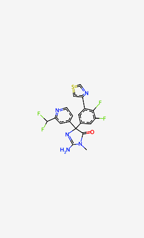 CN1C(=O)C(c2ccnc(C(F)F)c2)(c2cc(F)c(F)c(-c3cscn3)c2)N=C1N